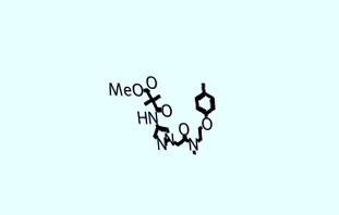 COC(=O)C(C)(C)C(=O)Nc1cnn(CC(=O)N(C)CCOc2ccc(C)cc2)c1